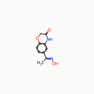 CC(=NO)c1ccc2c(c1)NC(=O)CO2